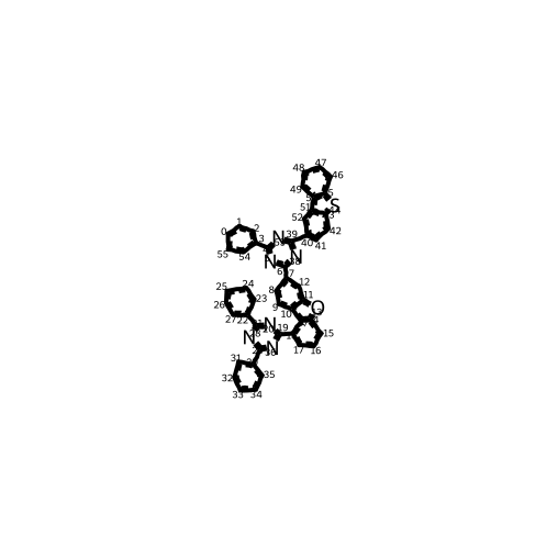 c1ccc(-c2nc(-c3ccc4c(c3)oc3cccc(-c5nc(-c6ccccc6)nc(-c6ccccc6)n5)c34)nc(-c3ccc4sc5ccccc5c4c3)n2)cc1